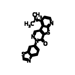 CN(C)c1ccnc2sc3c(=O)n(-c4ccc5ncsc5c4)ncc3c12